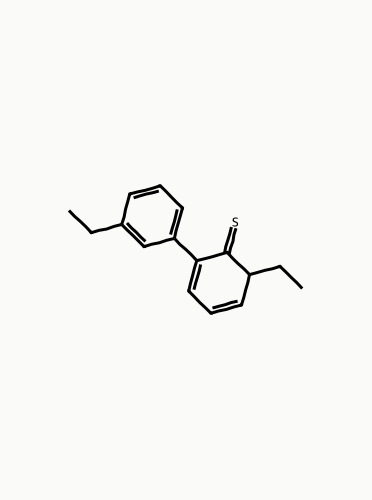 CCc1cccc(C2=CC=CC(CC)C2=S)c1